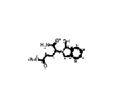 CC(C)COC(=O)CCC(C(N)=O)N1Cc2ccccc2C1O